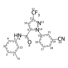 Cc1cccc(NC(=O)c2cc(C(F)(F)F)nn2-c2cccc(C#N)c2)c1